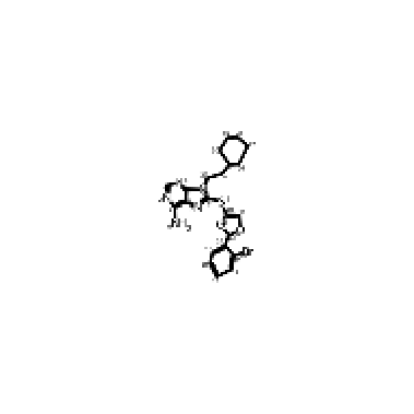 Nc1ncnc2c1nc(SC1=COC(c3ccccc3Br)O1)n2CCC1CCCCC1